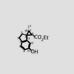 CCOC(=O)[C@@H]1[C@@H](C)[C@]12CCc1ccc(O)cc12